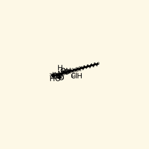 CCCCCCCCCCCCCCCCCCOCC(O)CNC(COC(C)(C)C)C(=O)O.Cl